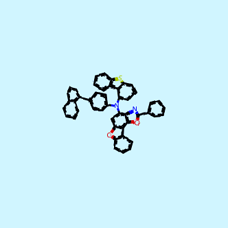 c1ccc(-c2nc3c(N(c4ccc(-c5cccc6ccccc56)cc4)c4cccc5sc6ccccc6c45)cc4oc5ccccc5c4c3o2)cc1